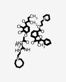 C=C(CC)C(=O)c1ccc(OCC(=O)O)c(Cl)c1Cl.Cc1c(-c2ccccc2)oc2c(C(=O)OCCN3CCCCC3)cccc2c1=O.N=C(N)NCCN1CCCCCCC1